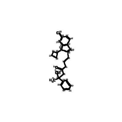 CC(O)(CC(=O)CCCc1nc2ccc(Cl)nc2n1C1CCC1)c1ccccc1